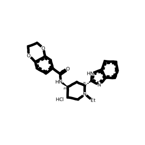 CCN1CC[C@@H](NC(=O)c2ccc3c(c2)OCCO3)C[C@@H]1c1nc2ccccc2[nH]1.Cl